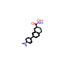 CN(C)c1ccc(-c2ccc3c(c2)CC(C(=O)NO)CC3)cc1